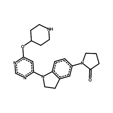 O=C1CCCN1c1ccc2c(c1)CCN2c1cc(OC2CCNCC2)ncn1